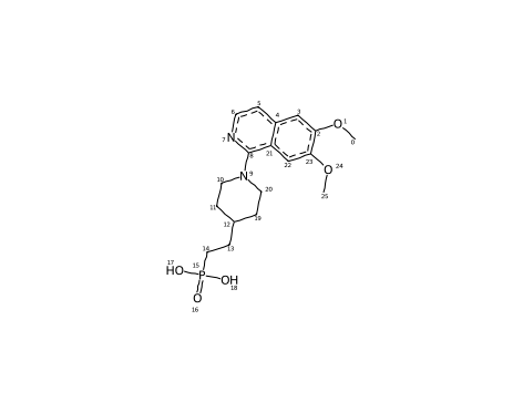 COc1cc2ccnc(N3CCC(CCP(=O)(O)O)CC3)c2cc1OC